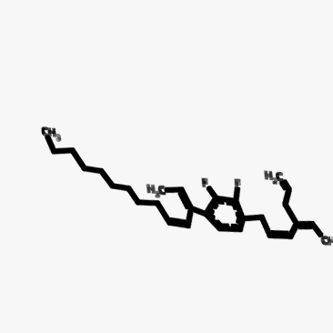 C=CCC(/C=C\Cc1ccc(C(/C=C\CCCCCCCCC)=C/C)c(F)c1F)=C/C